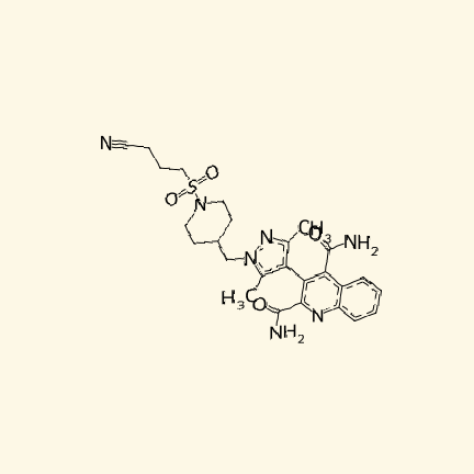 Cc1nn(CC2CCN(S(=O)(=O)CCCC#N)CC2)c(C)c1-c1c(C(N)=O)nc2ccccc2c1C(N)=O